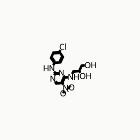 O=[N+]([O-])c1cnc(Nc2ccc(Cl)cc2)nc1NCC(O)CO